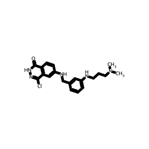 CN(C)CCCNc1cccc(CNc2ccc3c(=O)[nH]nc(Cl)c3c2)c1